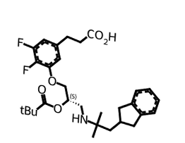 CC(C)(CC1Cc2ccccc2C1)NC[C@@H](COc1cc(CCC(=O)O)cc(F)c1F)OC(=O)C(C)(C)C